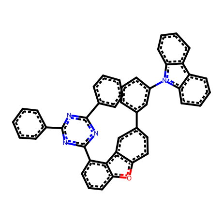 c1ccc(-c2nc(-c3ccccc3)nc(-c3cccc4oc5ccc(-c6cccc(-n7c8ccccc8c8ccccc87)c6)cc5c34)n2)cc1